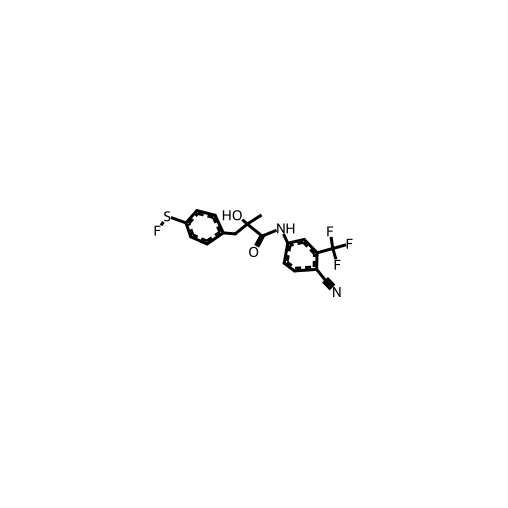 CC(O)(Cc1ccc(SF)cc1)C(=O)Nc1ccc(C#N)c(C(F)(F)F)c1